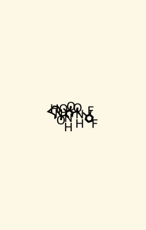 CC1C2CC2CCCN1C(=O)c1[nH]cc(C(=O)NCc2ccc(F)cc2F)c(=O)c1O